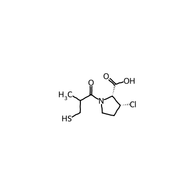 CC(CS)C(=O)N1CC[C@@H](Cl)[C@H]1C(=O)O